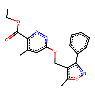 CCOC(=O)c1nnc(OCc2c(-c3ccccc3)noc2C)cc1C